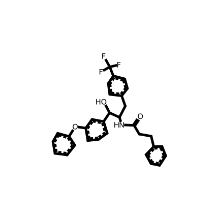 O=C(CCc1ccccc1)NC(Cc1ccc(C(F)(F)F)cc1)C(O)c1cccc(Oc2ccccc2)c1